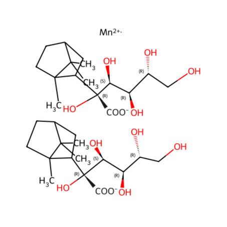 CC1(C)C2CCC1(C)C([C@](O)(C(=O)[O-])[C@@H](O)[C@H](O)[C@H](O)CO)C2.CC1(C)C2CCC1(C)C([C@](O)(C(=O)[O-])[C@@H](O)[C@H](O)[C@H](O)CO)C2.[Mn+2]